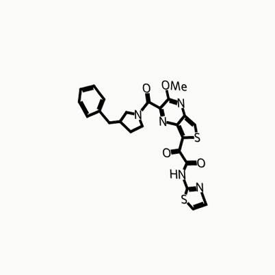 COc1nc2csc(C(=O)C(=O)Nc3nccs3)c2nc1C(=O)N1CCC(Cc2ccccc2)C1